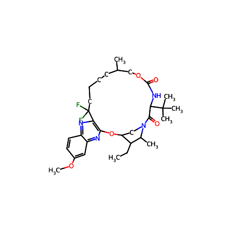 CCC1C2CN(C(=O)C(C(C)(C)C)NC(=O)OCC(C)CCCCC(F)(F)c3nc4ccc(OC)cc4nc3O2)C1C